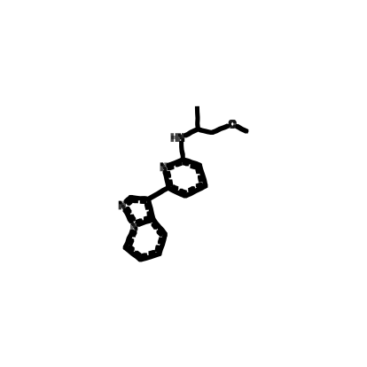 COCC(C)Nc1cccc(-c2cnn3ccccc23)n1